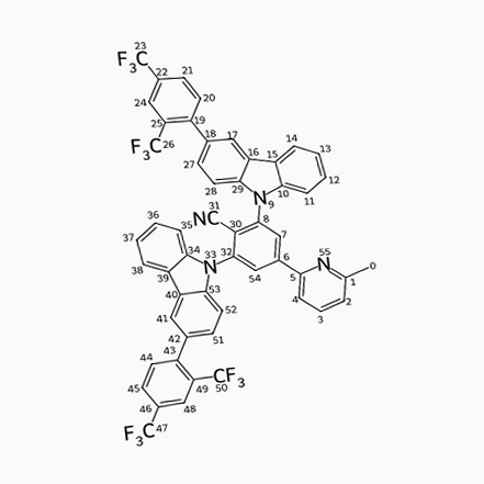 Cc1cccc(-c2cc(-n3c4ccccc4c4cc(-c5ccc(C(F)(F)F)cc5C(F)(F)F)ccc43)c(C#N)c(-n3c4ccccc4c4cc(-c5ccc(C(F)(F)F)cc5C(F)(F)F)ccc43)c2)n1